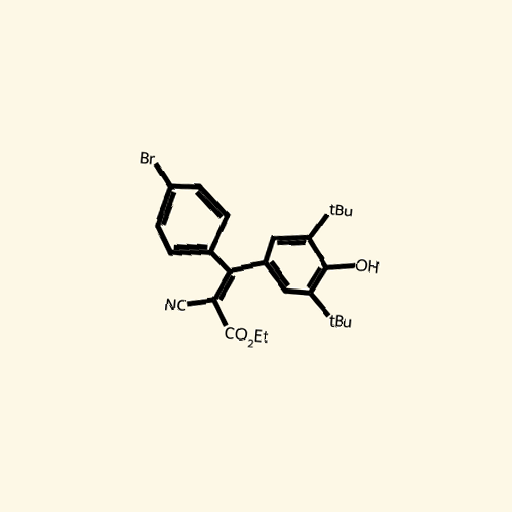 CCOC(=O)C(C#N)=C(c1ccc(Br)cc1)c1cc(C(C)(C)C)c(O)c(C(C)(C)C)c1